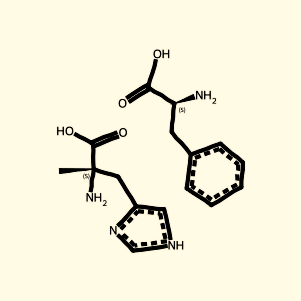 C[C@](N)(Cc1c[nH]cn1)C(=O)O.N[C@@H](Cc1ccccc1)C(=O)O